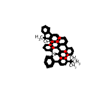 CC(C)(C)c1ccc(-c2ccccc2N(c2cccc(-c3cccc4c3C(C)(C)c3ccccc3-4)c2)c2ccccc2-c2cccc3cccc(-c4ccccc4)c23)cc1